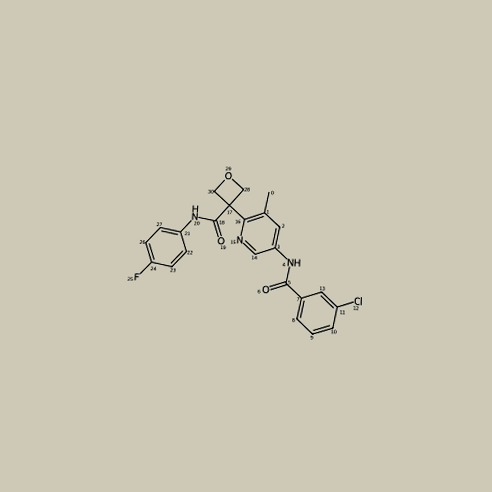 Cc1cc(NC(=O)c2cccc(Cl)c2)cnc1C1(C(=O)Nc2ccc(F)cc2)COC1